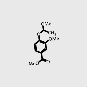 COC(=O)c1ccc(OC(C)OC)c(OC)c1